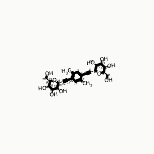 Cc1cc(C#C[C@H]2O[C@H](CO)[C@@H](O)[C@H](O)[C@@H]2O)c(C)cc1C#C[C@H]1O[C@H](CO)[C@@H](O)[C@H](O)[C@@H]1O